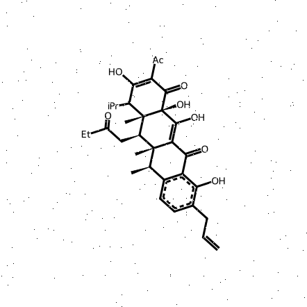 C=CCc1ccc2c(c1O)C(=O)C1=C(O)[C@@]3(O)C(=O)C(C(C)=O)=C(O)C(C(C)C)[C@@]3(C)[C@H](CC(=O)CC)[C@@]1(C)[C@@H]2C